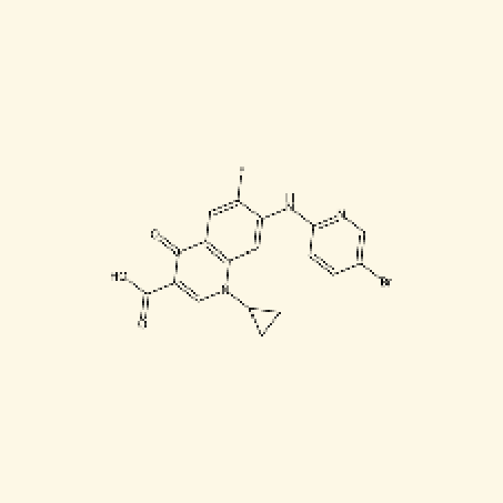 O=C(O)c1cn(C2CC2)c2cc(Nc3ccc(Br)cn3)c(F)cc2c1=O